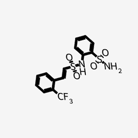 NS(=O)(=O)c1ccccc1NS(=O)(=O)/C=C/c1ccccc1C(F)(F)F